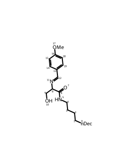 CCCCCCCCCCCCCCNC(=O)C(CO)N=Cc1ccc(OC)cc1